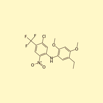 CCc1cc(Nc2cc(Cl)c(C(F)(F)F)cc2[N+](=O)[O-])c(OC)cc1OC